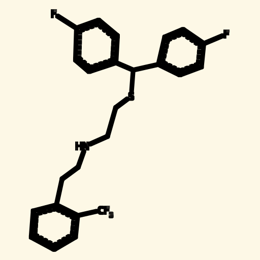 Fc1ccc(C(SCCNCCc2ccccc2C(F)(F)F)c2ccc(F)cc2)cc1